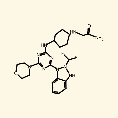 NC(=O)CNC1CCC(Nc2nc(N3CCOCC3)nc(N3c4ccccc4NN3C(F)F)n2)CC1